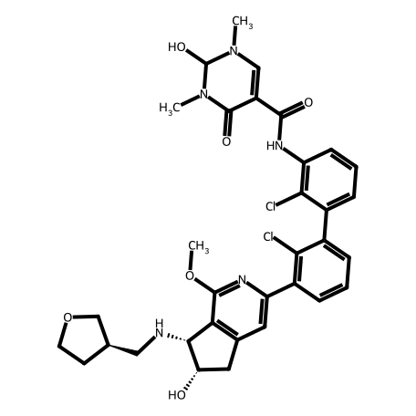 COc1nc(-c2cccc(-c3cccc(NC(=O)C4=CN(C)C(O)N(C)C4=O)c3Cl)c2Cl)cc2c1[C@@H](NC[C@H]1CCOC1)[C@@H](O)C2